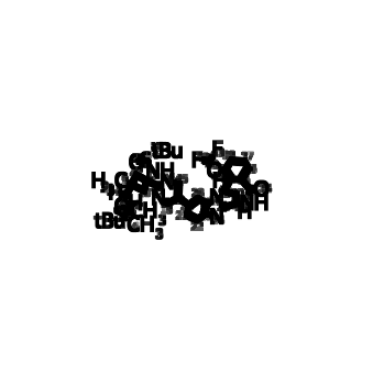 [2H]C([2H])(O[Si](C)(C)C(C)(C)C)C1(C)CC(N[S+]([O-])C(C)(C)C)(c2ncc(-c3ccc4nc5n(c4c3)[C@@H]3C[C@H]5NC(=O)c4cccc(OC(F)F)c43)cn2)C1